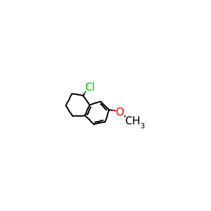 COc1ccc2c(c1)C(Cl)CCC2